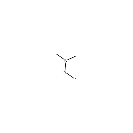 [CH2][N]N(C)C